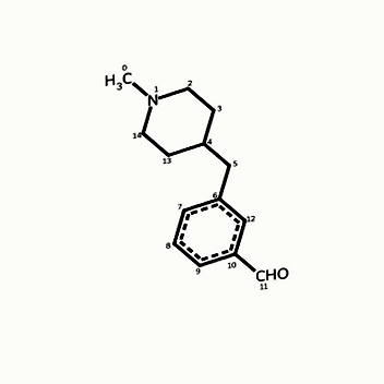 CN1CCC(Cc2cccc(C=O)c2)CC1